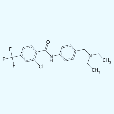 CCN(CC)Cc1ccc(NC(=O)c2ccc(C(F)(F)F)cc2Cl)cc1